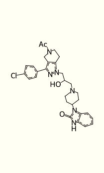 CC(=O)N1CCc2c(c(-c3ccc(Cl)cc3)nn2CC(O)CN2CCC(n3c(=O)[nH]c4ccccc43)CC2)C1